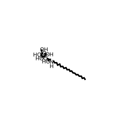 CCCCCCCCCCCCCCCCCCCCCCNCC(O)CO[C@@H]1[C@@H](O)[C@@H](O)[C@@H](CO)O[C@H]1O